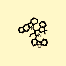 CCc1c(-c2cccc3oc4ccccc4c23)nc2c(c1-n1c3c(c4cc5ccccc5cc41)C=CCC3)-c1ccccc1C2(C)C